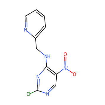 O=[N+]([O-])c1cnc(Cl)nc1NCc1ccccn1